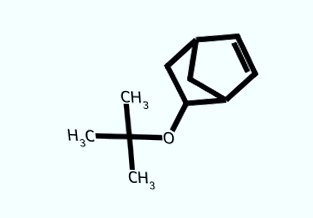 CC(C)(C)OC1CC2C=CC1C2